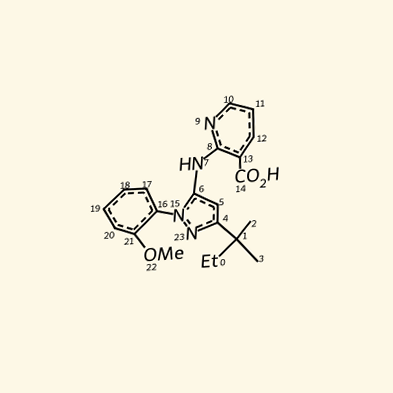 CCC(C)(C)c1cc(Nc2ncccc2C(=O)O)n(-c2ccccc2OC)n1